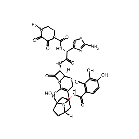 CCN1CCN(C(=O)N[C@@H](C(=O)N[C@@H]2C(=O)N3C(C(=O)O)=C(CN4[C@@H]5CC[C@H]4C[C@@H](NC(=O)c4ccc(O)c(O)c4Cl)C5)CS[C@H]23)c2csc(N)n2)C(=O)C1=O